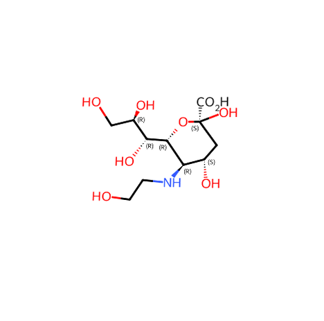 O=C(O)[C@]1(O)C[C@H](O)[C@@H](NCCO)[C@H]([C@H](O)[C@H](O)CO)O1